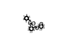 O=C(OCc1ccccc1)N1CC=CCC1COC1CCCOC1